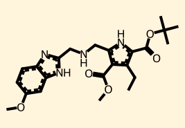 CCc1c(C(=O)OC(C)(C)C)[nH]c(CNCc2nc3ccc(OC)cc3[nH]2)c1C(=O)OC